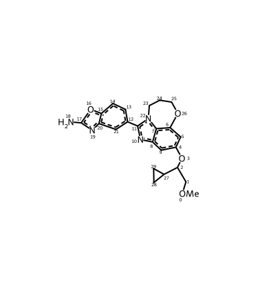 COCC(Oc1cc2c3c(c1)nc(-c1ccc4oc(N)nc4c1)n3CCCO2)C1CC1